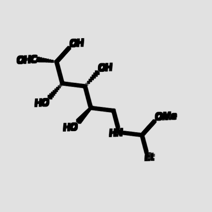 CCC(NC[C@@H](O)[C@@H](O)[C@H](O)[C@@H](O)C=O)OC